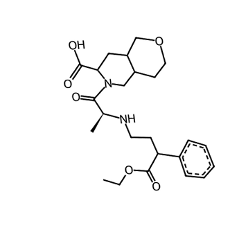 CCOC(=O)C(CCN[C@@H](C)C(=O)N1CC2CCOCC2CC1C(=O)O)c1ccccc1